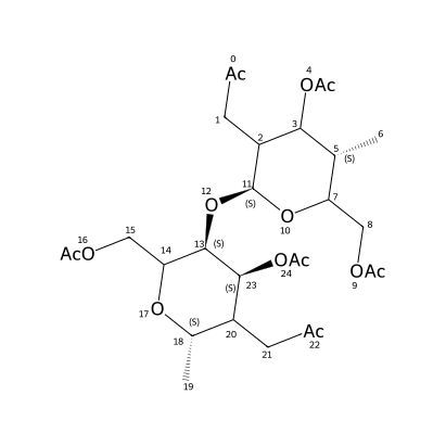 CC(=O)CC1C(OC(C)=O)[C@H](C)C(COC(C)=O)O[C@H]1O[C@@H]1C(COC(C)=O)O[C@@H](C)C(CC(C)=O)[C@@H]1OC(C)=O